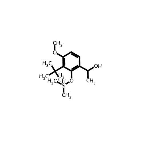 COc1ccc(C(C)O)c(O[SiH](C)C)c1C(C)(C)C